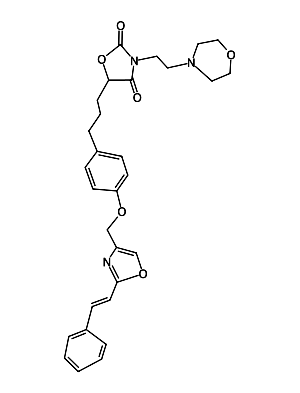 O=C1OC(CCCc2ccc(OCc3coc(C=Cc4ccccc4)n3)cc2)C(=O)N1CCN1CCOCC1